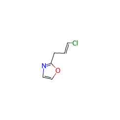 ClC=CCc1ncco1